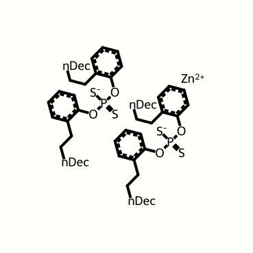 CCCCCCCCCCCCc1ccccc1OP(=S)([S-])Oc1ccccc1CCCCCCCCCCCC.CCCCCCCCCCCCc1ccccc1OP(=S)([S-])Oc1ccccc1CCCCCCCCCCCC.[Zn+2]